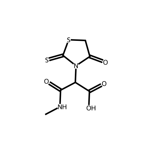 CNC(=O)C(C(=O)O)N1C(=O)CSC1=S